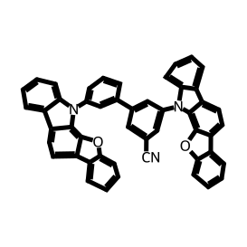 N#Cc1cc(-c2cccc(-n3c4ccccc4c4ccc5c6ccccc6oc5c43)c2)cc(-n2c3ccccc3c3ccc4c5ccccc5oc4c32)c1